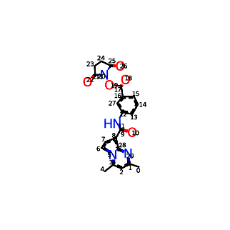 Cc1cc(C)n2ccc(C(=O)Nc3cccc(C(=O)ON4C(=O)CCC4=O)c3)c2n1